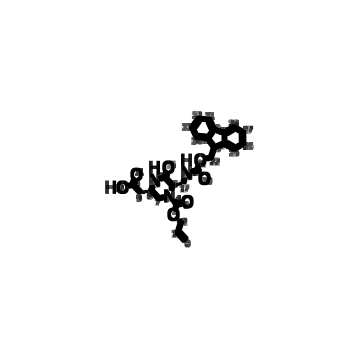 C=CCOC(=O)N1C[C@H](CC(=O)O)NC(=O)[C@@H]1CNC(=O)OCC1c2ccccc2-c2ccccc21